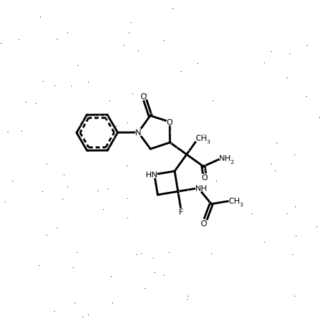 CC(=O)NC1(F)CNC1C(C)(C(N)=O)C1CN(c2ccccc2)C(=O)O1